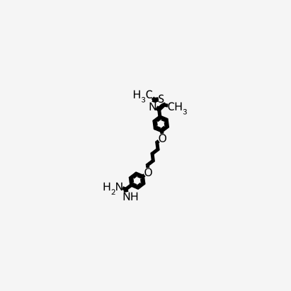 Cc1nc(-c2ccc(OCCCCCOc3ccc(C(=N)N)cc3)cc2)c(C)s1